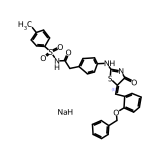 Cc1ccc(S(=O)(=O)NC(=O)Cc2ccc(NC3=NC(=O)/C(=C\c4ccccc4OCc4ccccc4)S3)cc2)cc1.[NaH]